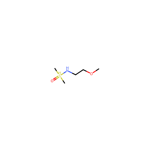 COCCN[SH](C)(C)=O